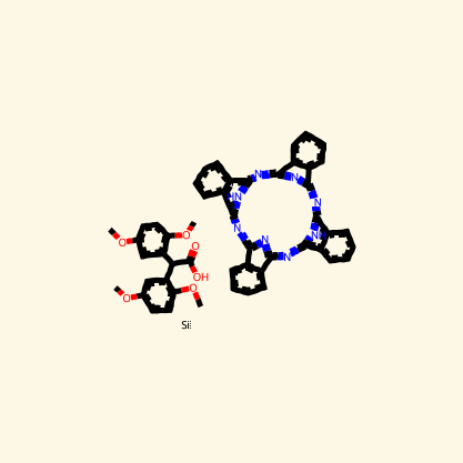 COc1ccc(OC)c(C(C(=O)O)c2cc(OC)ccc2OC)c1.[Si].c1ccc2c(c1)-c1nc-2nc2[nH]c(nc3nc(nc4[nH]c(n1)c1ccccc41)-c1ccccc1-3)c1ccccc21